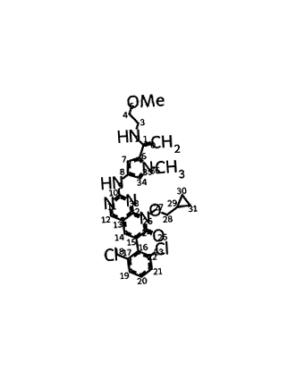 C=C(NCCOC)c1cc(Nc2ncc3cc(-c4c(Cl)cccc4Cl)c(=O)n(OCC4CC4)c3n2)cn1C